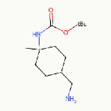 CC1(NC(=O)OC(C)(C)C)CCC(CN)CC1